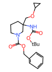 CC(C)(C)OC(=O)NC1(COC2CC2)CCCN(C(=O)OCc2ccccc2)C1